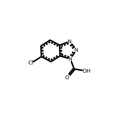 O=C(O)n1nnc2ccc(Cl)cc21